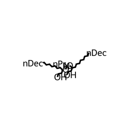 CCCCCCCCCCCCCCCCCC(CCO)ON(CCC)OC(CCO)CCCCCCCCCCCCCCCCC